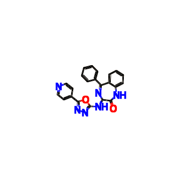 O=C1Nc2ccccc2C(c2ccccc2)=N[C@@H]1Nc1nnc(-c2ccncc2)o1